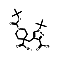 CC(C)(C)OC(=O)N1CCC(Cc2cn(C(C)(C)C)nc2C(=O)O)(C(N)=O)CC1